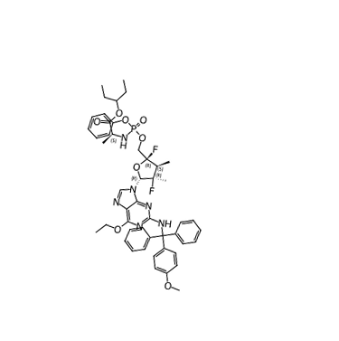 CCOc1nc(NC(c2ccccc2)(c2ccccc2)c2ccc(OC)cc2)nc2c1ncn2[C@@H]1O[C@](F)(COP(=O)(N[C@@H](C)C(=O)OC(CC)CC)Oc2ccccc2)[C@@H](C)[C@@]1(C)F